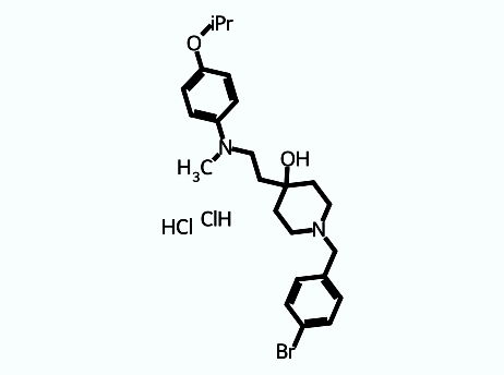 CC(C)Oc1ccc(N(C)CCC2(O)CCN(Cc3ccc(Br)cc3)CC2)cc1.Cl.Cl